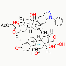 CC(=O)OCC(=O)[C@@]1(O)[C@H](C)C[C@H]2[C@@H]3C=C(C)C4=Cc5c(cnn5-c5ccccc5)C[C@]4(C)[C@H]3[C@@H](O)C[C@@]21C.C[C@@H]1C[C@H]2[C@@H]3CCC4=CC(=O)C=C[C@]4(C)[C@@]3(F)[C@@H](O)C[C@]2(C)[C@@]1(O)C(=O)CO